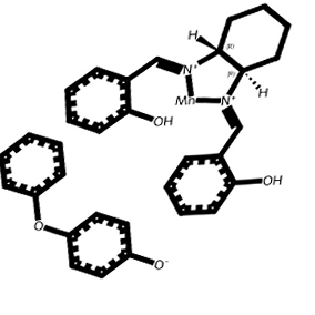 Oc1ccccc1C=[N+]1[Mn][N+](=Cc2ccccc2O)[C@@H]2CCCC[C@H]21.[O-]c1ccc(Oc2ccccc2)cc1